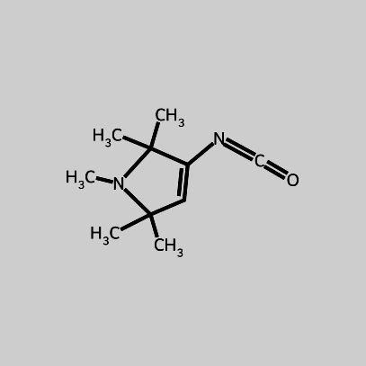 CN1C(C)(C)C=C(N=C=O)C1(C)C